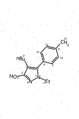 CCCCc1c(O)nn(CC)c1-c1ccc(C)cc1